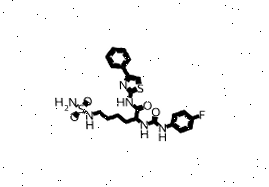 NS(=O)(=O)NCCCCC(NC(=O)Nc1ccc(F)cc1)C(=O)Nc1nc(-c2ccccc2)cs1